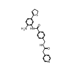 Nc1ccc(C2=CCCS2)cc1NC(=O)c1ccc(CNC(=O)Cc2ccncc2)cc1